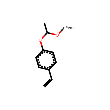 C=Cc1ccc(OC(C)OCCCCC)cc1